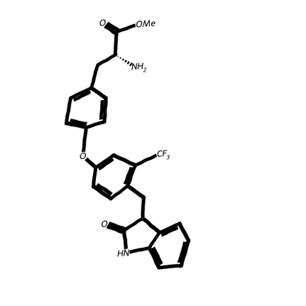 COC(=O)[C@H](N)Cc1ccc(Oc2ccc(CC3C(=O)Nc4ccccc43)c(C(F)(F)F)c2)cc1